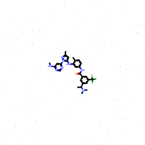 CNc1cc(-n2nc(C)cc2Nc2cc(NC(=O)c3cc(C(C)N(C)C)cc(C(F)(F)F)c3)ccc2C)ncn1